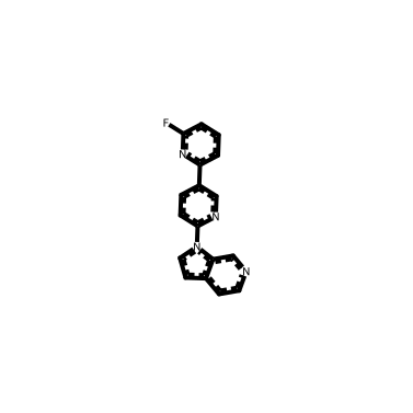 Fc1cccc(-c2ccc(-n3ccc4ccncc43)nc2)n1